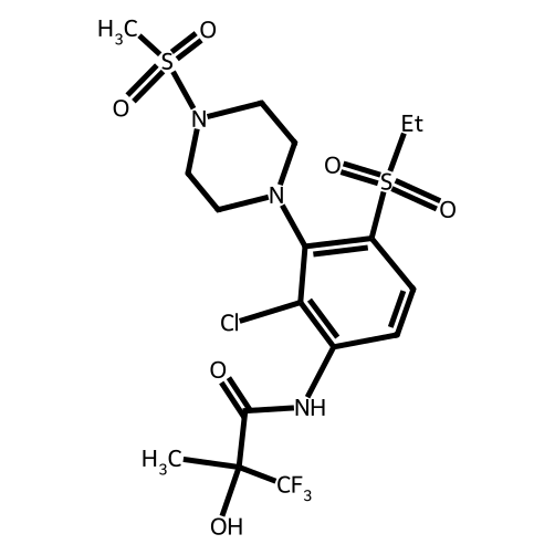 CCS(=O)(=O)c1ccc(NC(=O)C(C)(O)C(F)(F)F)c(Cl)c1N1CCN(S(C)(=O)=O)CC1